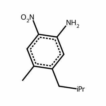 Cc1cc([N+](=O)[O-])c(N)cc1CC(C)C